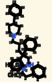 O=C[C@H](Cc1ccccc1)N(NCC(CCCN1CCC(c2ccccc2)CC1)(c1ccccc1)c1ccccc1)C(=O)O